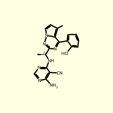 Cc1ccn2nc([C@H](C)Nc3ncnc(N)c3C#N)nc(-c3ccccc3O)c12